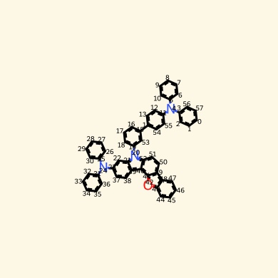 c1ccc(N(c2ccccc2)c2ccc(-c3cccc(-n4c5cc(N(c6ccccc6)c6ccccc6)ccc5c5c6oc7ccccc7c6ccc54)c3)cc2)cc1